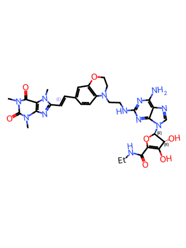 CCNC(=O)C1=C(O)[C@@H](O)[C@H](n2cnc3c(N)nc(NCCN4CCOc5cc(/C=C/c6nc7c(c(=O)n(C)c(=O)n7C)n6C)ccc54)nc32)O1